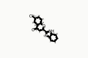 O=c1cc(-c2nc3ccccc3[nH]2)oc2ccc(Cl)cc12